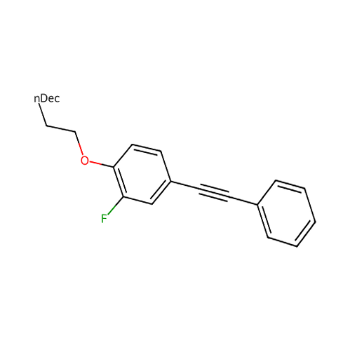 CCCCCCCCCCCCOc1ccc(C#Cc2ccccc2)cc1F